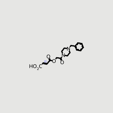 O=C(O)/C=C/C(=O)OCC(=O)N1CCN(Cc2ccccc2)CC1